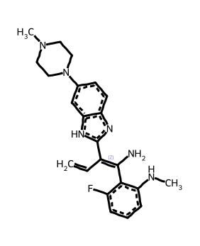 C=C/C(=C(/N)c1c(F)cccc1NC)c1nc2ccc(N3CCN(C)CC3)cc2[nH]1